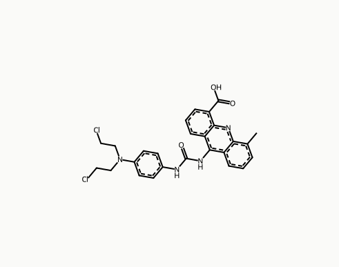 Cc1cccc2c(NC(=O)Nc3ccc(N(CCCl)CCCl)cc3)c3cccc(C(=O)O)c3nc12